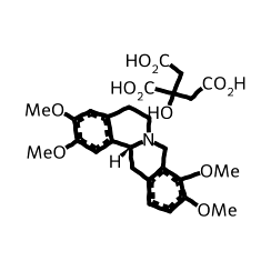 COc1cc2c(cc1OC)[C@H]1Cc3ccc(OC)c(OC)c3CN1CC2.O=C(O)CC(O)(CC(=O)O)C(=O)O